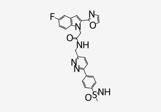 CS(=N)(=O)c1ccc(-c2ccc(CNC(=O)Cn3c(-c4ncco4)cc4cc(F)ccc43)nn2)cc1